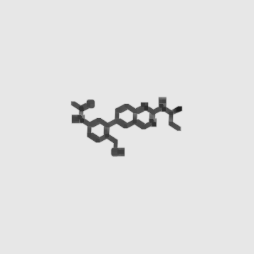 CC[C@H](C)Nc1ncc2cc(-c3cc(NC(C)=O)ccc3CO)ccc2n1